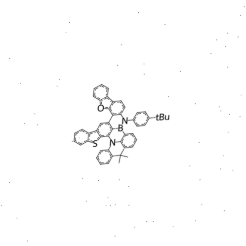 CC(C)(C)c1ccc(N2B3c4cccc5c4N(c4ccccc4C5(C)C)c4c3c(cc3c4sc4ccccc43)-c3c2ccc2c3oc3ccccc32)cc1